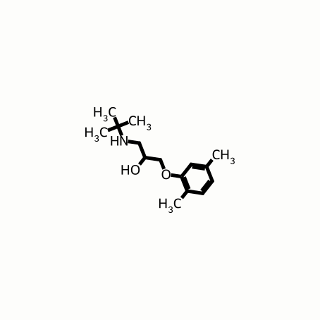 Cc1ccc(C)c(OCC(O)CNC(C)(C)C)c1